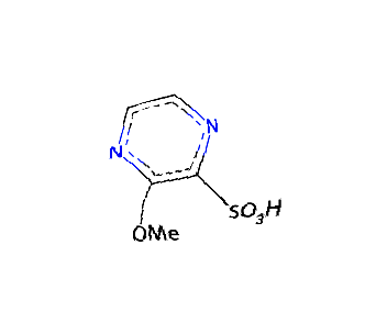 COc1nccnc1S(=O)(=O)O